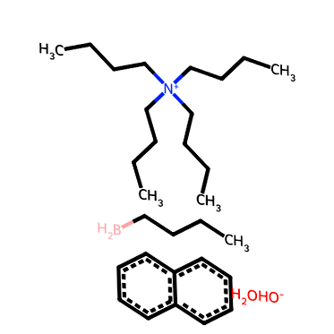 BCCCC.CCCC[N+](CCCC)(CCCC)CCCC.O.[OH-].c1ccc2ccccc2c1